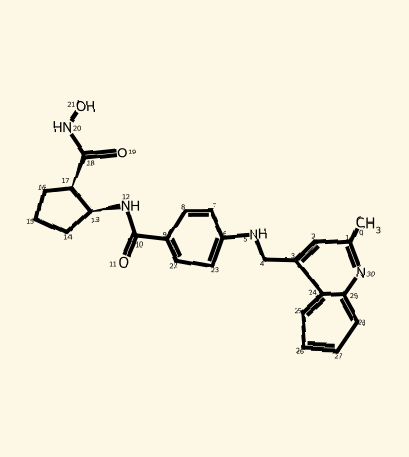 Cc1cc(CNc2ccc(C(=O)N[C@H]3CCC[C@H]3C(=O)NO)cc2)c2ccccc2n1